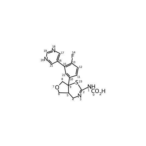 O=C(O)NC1=NCC2COCC2(c2ccc(F)c(-c3cncnc3)c2)S1